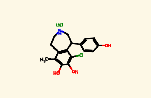 Cc1c(O)c(O)c(Cl)c2c1CCNCC2c1ccc(O)cc1.Cl